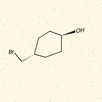 O[C@H]1CC[C@H](CBr)CC1